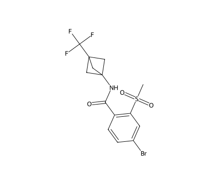 CS(=O)(=O)c1cc(Br)ccc1C(=O)NC12CC(C(F)(F)F)(C1)C2